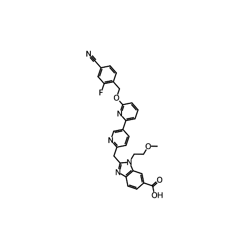 COCCn1c(Cc2ccc(-c3cccc(OCc4ccc(C#N)cc4F)n3)cn2)nc2ccc(C(=O)O)cc21